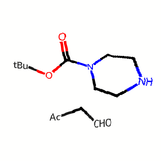 CC(=O)CC=O.CC(C)(C)OC(=O)N1CCNCC1